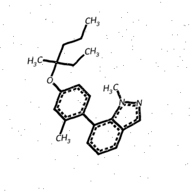 CCCC(C)(CC)Oc1ccc(-c2cccc3cnn(C)c23)c(C)c1